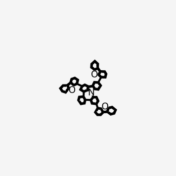 c1ccc2c(c1)-c1cc(-c3cccc4c3oc3ccccc34)ccc1-n1c3ccc(-c4cccc5c4oc4ccccc45)cc3c3cc(-c4cccc5c4oc4ccccc45)cc-2c31